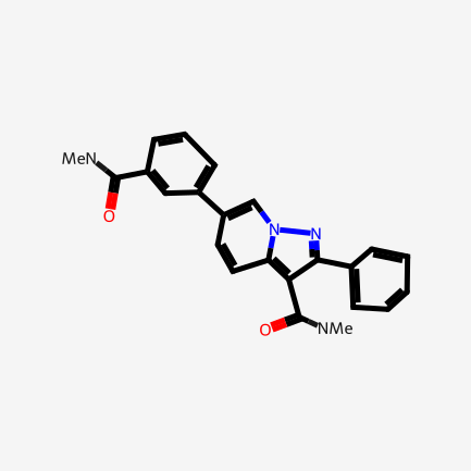 CNC(=O)c1cccc(-c2ccc3c(C(=O)NC)c(-c4ccccc4)nn3c2)c1